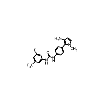 Cn1ccc(N)c1-c1ccc(NC(=O)Nc2cc(F)cc(C(F)(F)F)c2)cc1